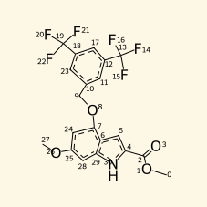 COC(=O)c1cc2c(OCc3cc(C(F)(F)F)cc(C(F)(F)F)c3)cc(OC)cc2[nH]1